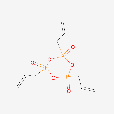 C=CCP1(=O)OP(=O)(CC=C)OP(=O)(CC=C)O1